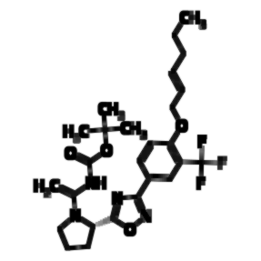 C=C(NC(=O)OC(C)(C)C)N1CCC[C@H]1c1nc(-c2ccc(OCC=CCCC)c(C(F)(F)F)c2)no1